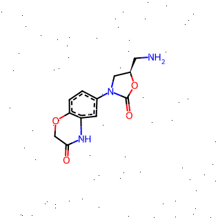 NC[C@@H]1CN(c2ccc3c(c2)NC(=O)CO3)C(=O)O1